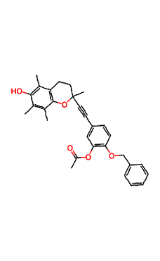 CC(=O)Oc1cc(C#CC2(C)CCc3c(C)c(O)c(C)c(C)c3O2)ccc1OCc1ccccc1